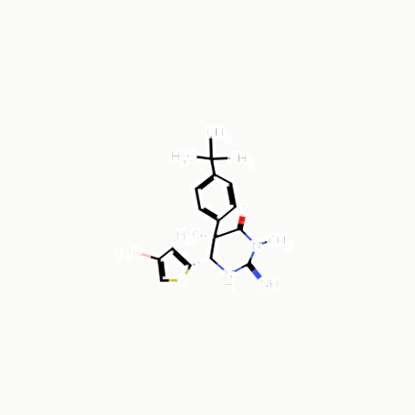 Bc1csc([C@H]2NC(=N)N(C)C(=O)[C@]2(C)c2ccc(C(C)(C)C)cc2)c1